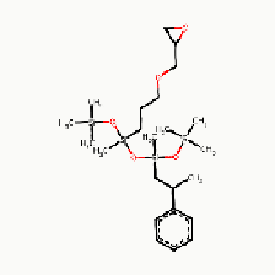 CC(C[Si](C)(O[Si](C)(C)C)O[Si](C)(CCCOCC1CO1)O[Si](C)(C)C)c1ccccc1